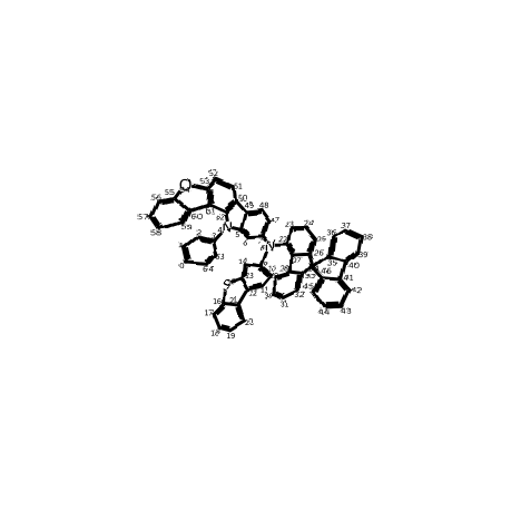 c1ccc(-n2c3cc(N(c4ccc5c(c4)sc4ccccc45)c4cccc5c4-c4ccccc4C54c5ccccc5-c5ccccc54)ccc3c3ccc4oc5ccccc5c4c32)cc1